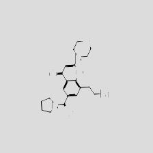 O=C(c1cc(CCBr)c2oc(N3CCOCC3)cc(=O)c2c1)N1CCCC1